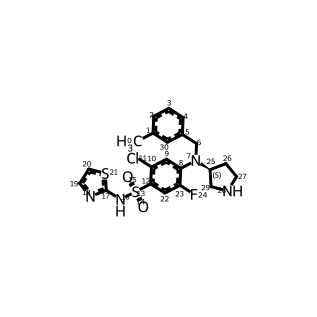 Cc1cccc(CN(c2cc(Cl)c(S(=O)(=O)Nc3nccs3)cc2F)[C@H]2CCNC2)c1